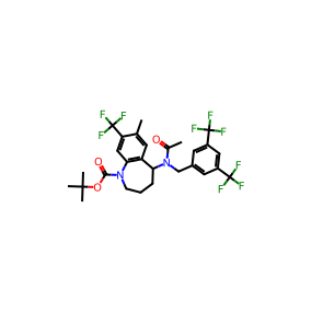 CC(=O)N(Cc1cc(C(F)(F)F)cc(C(F)(F)F)c1)C1CCCN(C(=O)OC(C)(C)C)c2cc(C(F)(F)F)c(C)cc21